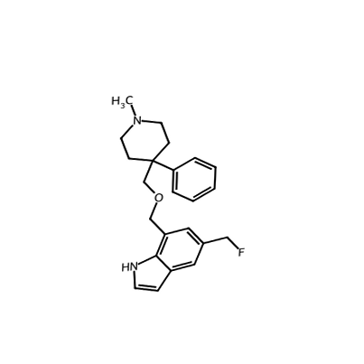 CN1CCC(COCc2cc(CF)cc3cc[nH]c23)(c2ccccc2)CC1